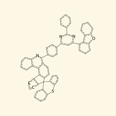 c1ccc(-c2nc(-c3ccc(-c4nc5ccccc5c5c6c(ccc45)C4(c5ccccc5Sc5ccccc54)c4ccccc4-6)cc3)cc(-c3cccc4oc5ccccc5c34)n2)cc1